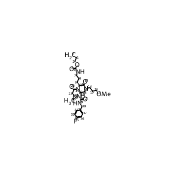 C=CCOC(=O)NCCC[C@H]1C(=O)N(CCCOC)C[C@H]2N1C(=O)CN(C)N2C(=O)NCc1ccc(F)cc1